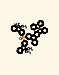 CC1(C)c2ccccc2-c2cc(P(=O)(c3ccc4c(c3)-c3ccccc3C4(C)C)c3ccc4c(c3)c3ccccc3c3cc5c(cc43)[Si](c3ccccc3)(c3ccccc3)c3ccccc3-5)ccc21